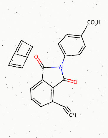 C#Cc1cccc2c1C(=O)N(c1ccc(C(=O)O)cc1)C2=O.c1cc2ccc1-2